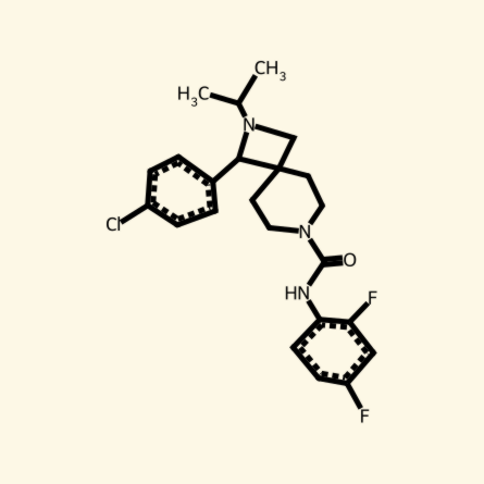 CC(C)N1CC2(CCN(C(=O)Nc3ccc(F)cc3F)CC2)C1c1ccc(Cl)cc1